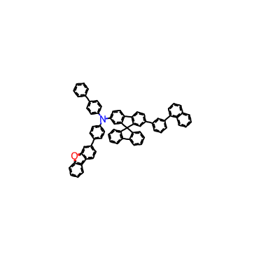 c1ccc(-c2ccc(N(c3ccc(-c4ccc5c(c4)oc4ccccc45)cc3)c3ccc4c(c3)C3(c5ccccc5-c5ccccc53)c3cc(-c5cccc(-c6cccc7ccccc67)c5)ccc3-4)cc2)cc1